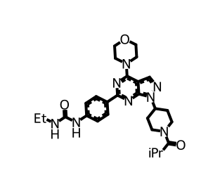 CCNC(=O)Nc1ccc(-c2nc(N3CCOCC3)c3cnn(C4CCN(C(=O)C(C)C)CC4)c3n2)cc1